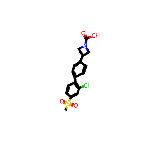 CS(=O)(=O)c1ccc(-c2ccc(C3CN(C(=O)O)C3)cc2)c(Cl)c1